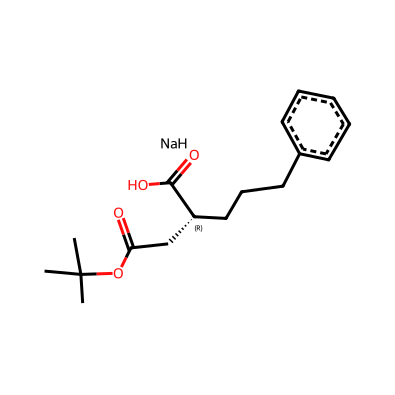 CC(C)(C)OC(=O)C[C@@H](CCCc1ccccc1)C(=O)O.[NaH]